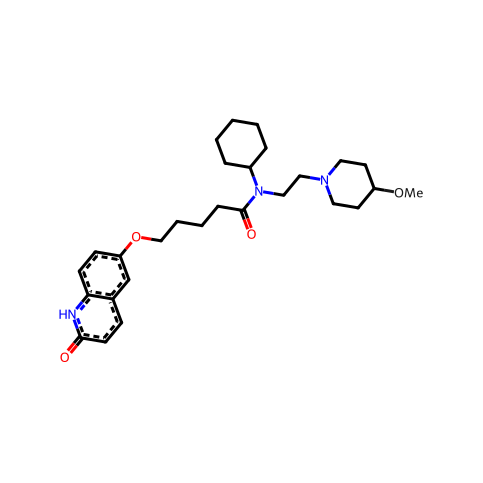 COC1CCN(CCN(C(=O)CCCCOc2ccc3[nH]c(=O)ccc3c2)C2CCCCC2)CC1